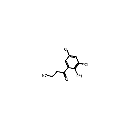 N#CCCC(=O)c1cc(Cl)cc(Cl)c1O